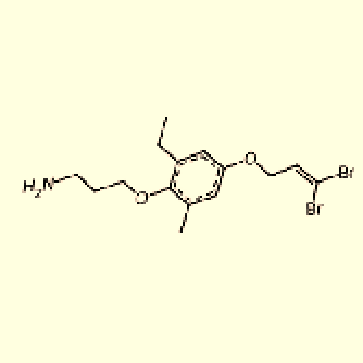 CCc1cc(OCC=C(Br)Br)cc(C)c1OCCCN